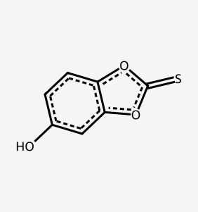 Oc1ccc2oc(=S)oc2c1